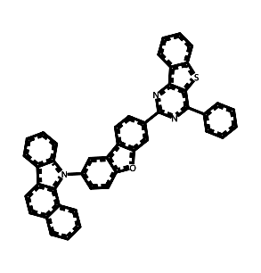 c1ccc(-c2nc(-c3ccc4c(c3)oc3ccc(-n5c6ccccc6c6ccc7ccccc7c65)cc34)nc3c2sc2ccccc23)cc1